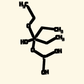 CCOP(O)(CC)(CC)OP(O)O